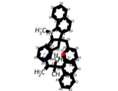 C=C(/C=C/C=C1/N(C)c2c(ccc3ccccc23)C1(Cc1ccccc1)Cc1ccccc1)C(C)(C)c1c(C)ccc2ccccc12